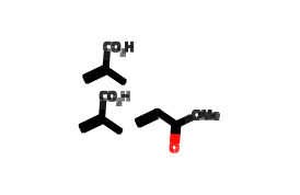 C=C(C)C(=O)O.C=C(C)C(=O)O.C=CC(=O)OC